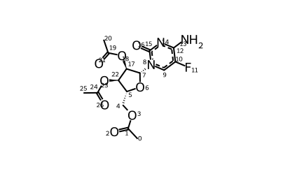 CC(=O)OC[C@H]1O[C@@H](n2cc(F)c(N)nc2=O)[C@H](OC(C)=O)[C@@H]1OC(C)=O